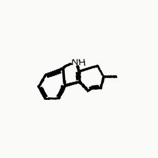 CC1C=Cc2c([nH]c3ccccc23)C1